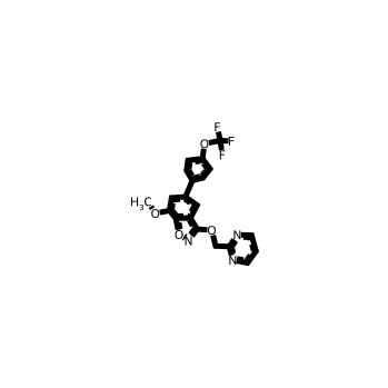 COc1cc(-c2ccc(OC(F)(F)F)cc2)cc2c(OCc3ncccn3)noc12